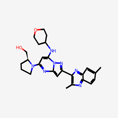 Cc1ccc2nc(C)c(-c3cc4nc(N5CCC[C@H]5CO)cc(NC5CCOCC5)n4n3)nc2c1